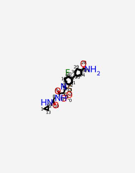 CS(=O)(=O)C(C(=O)NCC(=O)NC1CC1)c1nc2cc(F)c(-c3ccc(C(N)=O)cc3)cc2s1